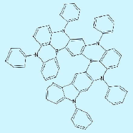 c1ccc(N2c3ccccc3B3c4cc5c(cc4N(c4ccccc4)c4cccc2c43)N(c2ccccc2)c2cccc3c2B5c2cc4c5ccccc5n(-c5ccccc5)c4cc2N3c2ccccc2)cc1